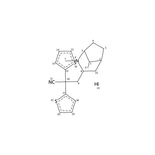 CC1C2CCC1N(C)C(CC(C#N)(c1cccs1)c1cccs1)C2.I